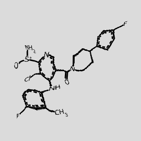 Cc1cc(F)ccc1Nc1c(C(=O)N2CCC(c3ccc(F)cc3)CC2)cnc([S+](N)[O-])c1Cl